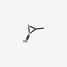 CC1SS1=N